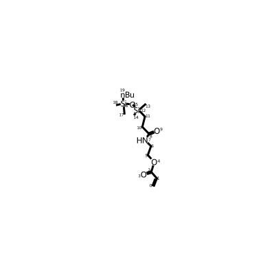 C=CC(=O)OCCNC(=O)CC[Si](C)(C)O[Si](C)(C)CCCC